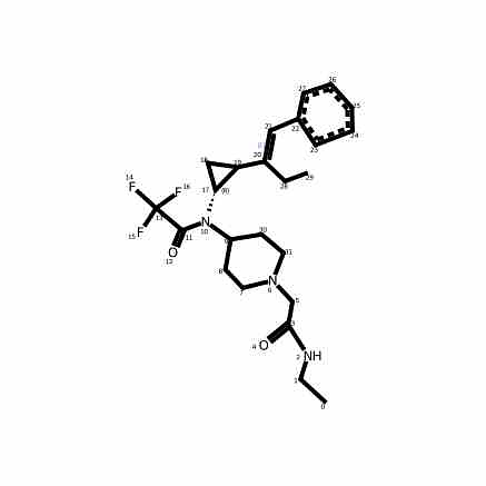 CCNC(=O)CN1CCC(N(C(=O)C(F)(F)F)[C@@H]2CC2/C(=C/c2ccccc2)CC)CC1